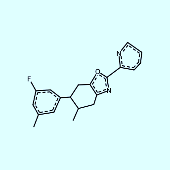 Cc1cc(F)cc(C2Cc3oc(-c4ccccn4)nc3CC2C)c1